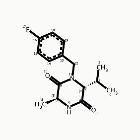 CC(C)[C@@H]1C(=O)N[C@@H](C)C(=O)N1Cc1ccc(F)cc1